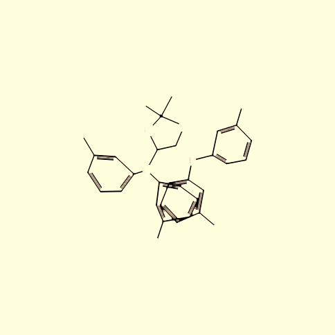 Cc1cccc(P(c2cccc(C)c2)C2OC(C)(C)O[C@@H]2P(c2cccc(C)c2)c2cccc(C)c2)c1